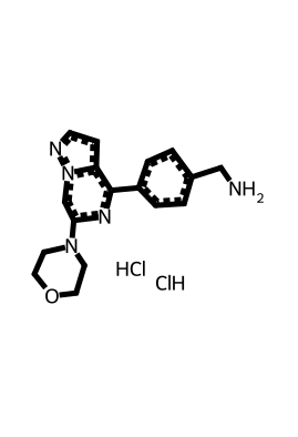 Cl.Cl.NCc1ccc(-c2nc(N3CCOCC3)cn3nccc23)cc1